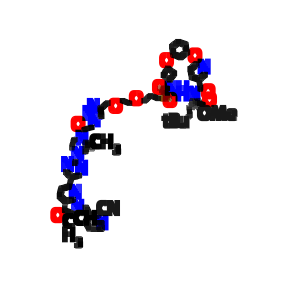 COC(=O)[C@H](CCC(C)(C)C)NC(=O)c1ccc(Oc2cccc(OC3CC(NS(=O)(=O)CCCOCCOCc4cn(CC(=O)N5CCN(c6ncc(-c7ccc8c(n7)N(Cc7cccnc7C#N)C(C)(C)C8=O)cn6)C[C@H]5C)nn4)C3)c2)nc1